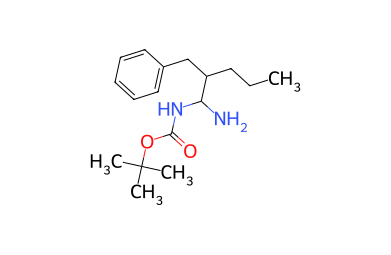 CCCC(Cc1ccccc1)C(N)NC(=O)OC(C)(C)C